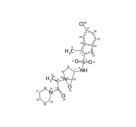 Cc1c(S(=O)(=O)NC2CC[N+]3([C@H](C)C(=O)N4CCCCC4)OC23)sc2ccc(Cl)cc12